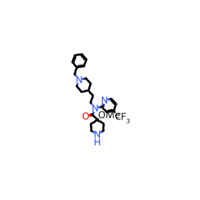 COC1(C(=O)N(CCC2CCN(Cc3ccccc3)CC2)c2cc(C(F)(F)F)ccn2)CCNCC1